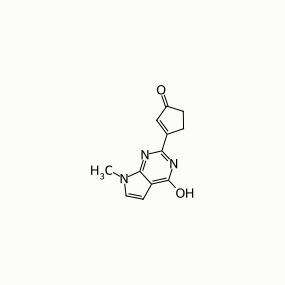 Cn1ccc2c(O)nc(C3=CC(=O)CC3)nc21